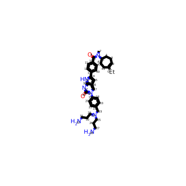 CCC1=CCCC(N(C)C(=O)c2ccc(-c3cc4cn(-c5ccc(CN(CCCN)CCCN)cc5)c(=O)nc4[nH]3)cc2)CC1